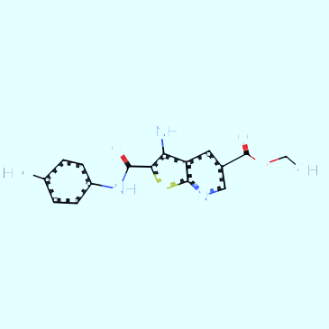 CCOC(=O)c1cnc2sc(C(=O)Nc3ccc(C)cc3)c(N)c2c1